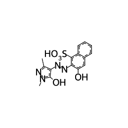 Cc1nn(C)c(O)c1N=Nc1c(O)cc2ccccc2c1S(=O)(=O)O